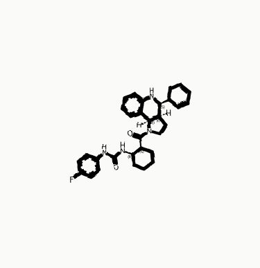 O=C(Nc1ccc(F)cc1)N[C@@H]1CCCC[C@@H]1C(=O)N1CC[C@@H]2[C@H](C3C=CC=CC3)Nc3ccccc3[C@@H]21